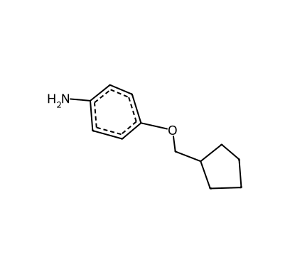 Nc1ccc(OCC2CCCC2)cc1